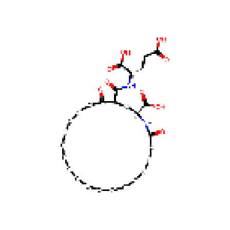 O=C(O)CC[C@H](NC(=O)C1C[C@@H](C(=O)O)NC(=O)CCCCCCCCCCCCCCCCC1=O)C(=O)O